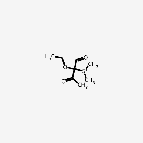 CCOC(C=O)(C(C)=O)[S+](C)C